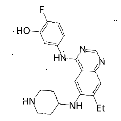 CCc1cc2ncnc(Nc3ccc(F)c(O)c3)c2cc1NC1CCNCC1